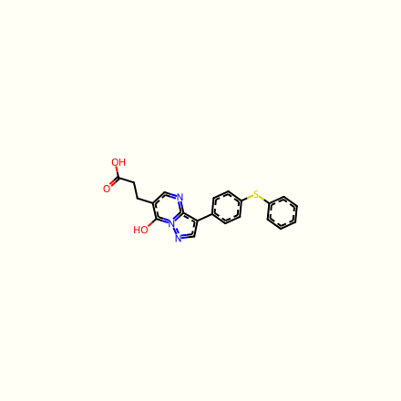 O=C(O)CCc1cnc2c(-c3ccc(Sc4ccccc4)cc3)cnn2c1O